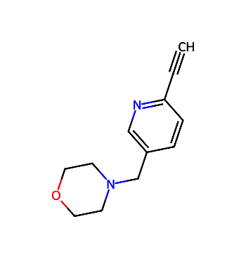 C#Cc1ccc(CN2CCOCC2)cn1